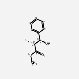 COC(=O)[C@H](I)[C@H](O)c1ccccc1